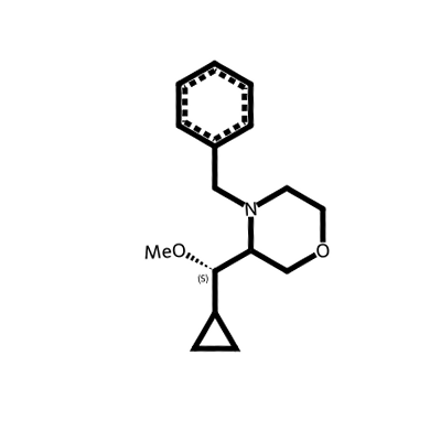 CO[C@@H](C1CC1)C1COCCN1Cc1ccccc1